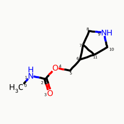 CNC(=O)OCC1C2CNCC21